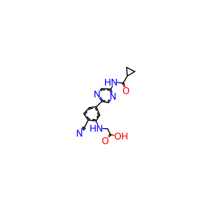 N#Cc1ccc(-c2cnc(NC(=O)C3CC3)cn2)cc1NCC(=O)O